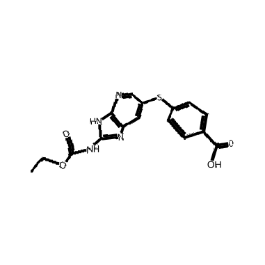 CCOC(=O)Nc1nc2cc(Sc3ccc(C(=O)O)cc3)cnc2[nH]1